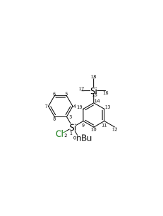 CCCC[Si](Cl)(c1ccccc1)c1cc(C)cc([Si](C)(C)C)c1